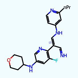 CCCc1cc(N/C=C(\C=N)c2ncc(NC3CCOCC3)cc2F)ccn1